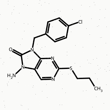 CCCSc1ncc2c(n1)n(Cc1ccc(Cl)cc1)c(=O)n2N